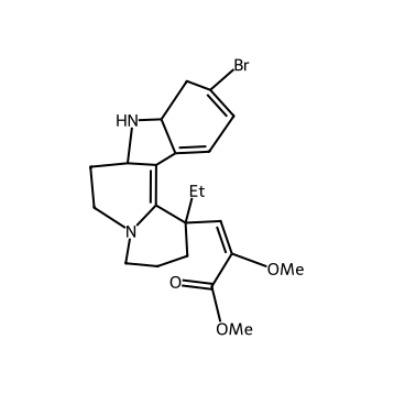 CCC1(C=C(OC)C(=O)OC)CCCN2CCC3NC4CC(Br)=CC=C4C3=C21